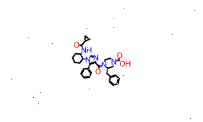 O=C(N[C@@H]1CCCC[C@@H]1n1cnc(C(=O)N2CCN(C(=O)O)C[C@H]2Cc2ccccc2)c1-c1ccccc1)C1CC1